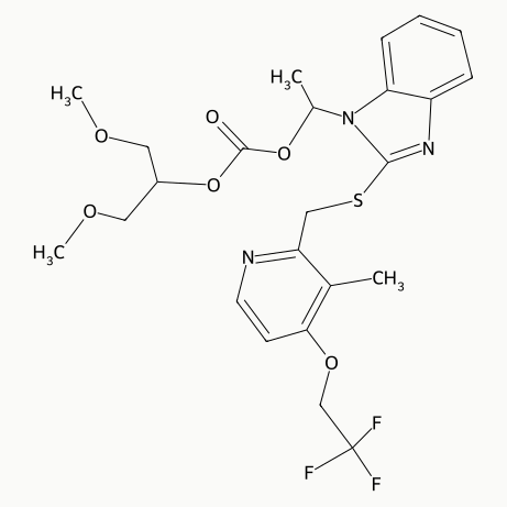 COCC(COC)OC(=O)OC(C)n1c(SCc2nccc(OCC(F)(F)F)c2C)nc2ccccc21